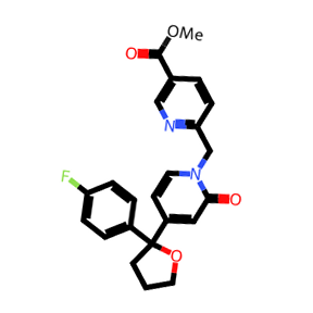 COC(=O)c1ccc(Cn2ccc(C3(c4ccc(F)cc4)CCCO3)cc2=O)nc1